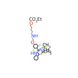 CCOC(=O)COCCCCCNCCOc1cc(F)c([C@@H]2c3[nH]c4ccccc4c3C[C@@H](C)N2CC(C)(C)F)c(F)c1